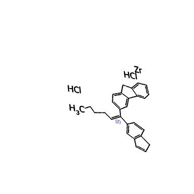 CCCC/C=C(/c1ccc2c(c1)C=CC2)c1ccc2c(c1)-c1ccccc1C2.Cl.Cl.[Zr]